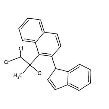 CC([O])(c1c(C2C=Cc3ccccc32)ccc2ccccc12)C(Cl)Cl